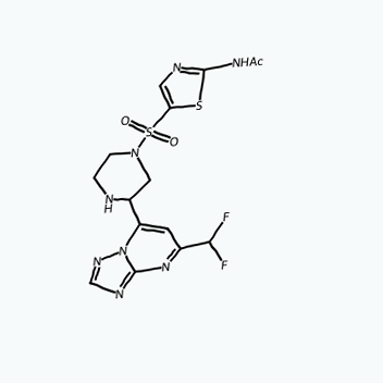 CC(=O)Nc1ncc(S(=O)(=O)N2CCNC(c3cc(C(F)F)nc4ncnn34)C2)s1